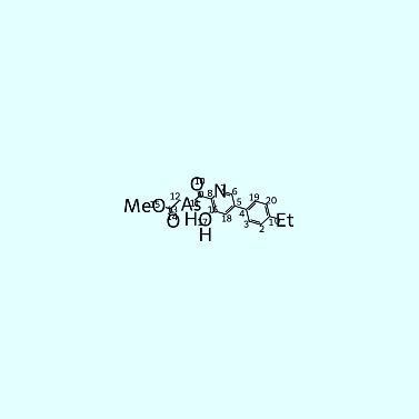 CCc1ccc(-c2cnc(C(=O)[AsH]CC(=O)OC)c(O)c2)cc1